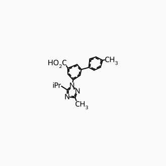 Cc1ccc(-c2cc(C(=O)O)cc(-n3nc(C)nc3C(C)C)c2)cc1